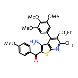 CCOC(=O)c1c(C)nc2sc(C(=O)c3ccc(OC)cc3)c(N)c2c1-c1cc(OC)c(OC)c(OC)c1